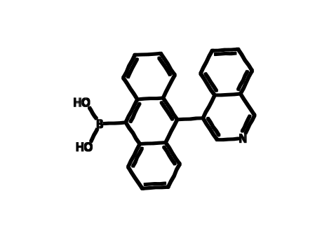 OB(O)c1c2ccccc2c(-c2cncc3ccccc23)c2ccccc12